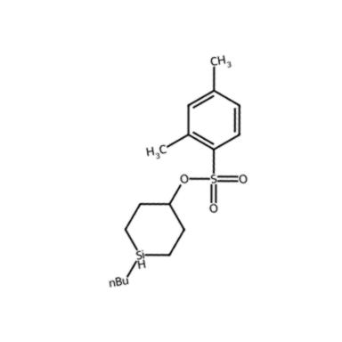 CCCC[SiH]1CCC(OS(=O)(=O)c2ccc(C)cc2C)CC1